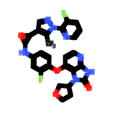 O=c1[nH]c2nccc(Oc3ccc(NC4OC4c4cnn(-c5ncccc5F)c4C(F)(F)F)cc3F)c2n1C1CCOC1